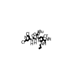 C=CCNc1nc(N(NC(=O)Nc2cc(Cl)nc(Cl)c2)C(=O)OC(C)(C)C)cc(C(F)(F)F)c1C(C)=N